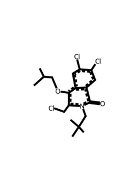 CC(C)COc1c(CCl)n(CC(C)(C)C)c(=O)c2cc(Cl)c(Cl)cc12